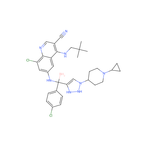 BC(Nc1cc(Cl)c2ncc(C#N)c(NCC(C)(C)C)c2c1)(C1=CN(C2CCN(C3CC3)CC2)NN1)c1ccc(Cl)cc1